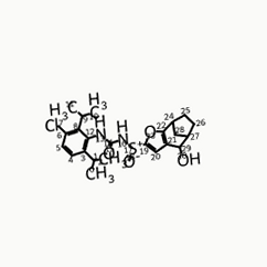 CC(C)c1ccc(Cl)c(C(C)C)c1NC(=O)N[S+]([O-])c1cc2c(o1)C1CCC(C1)C2O